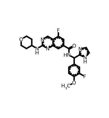 COc1ccc(C(NC(=O)c2cc(F)c3cnc(NC4CCOCC4)nc3c2)c2ncc[nH]2)cc1F